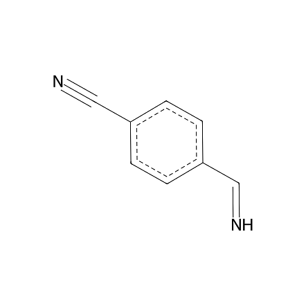 N#Cc1ccc(C=N)cc1